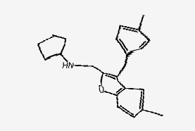 Cc1ccc(-c2c(CNC3CCCC3)oc3ccc(C)cc23)cc1